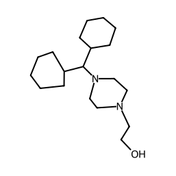 OCCN1CCN(C(C2CCCCC2)C2CCCCC2)CC1